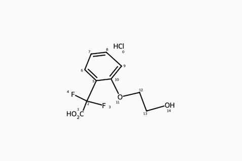 Cl.O=C(O)C(F)(F)c1ccccc1OCCO